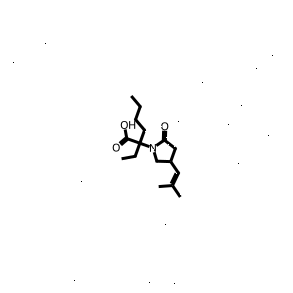 CCCCC(CC)(C(=O)O)N1CC(C=C(C)C)CC1=O